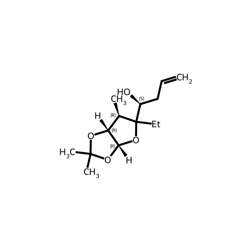 C=CC[C@H](O)C1(CC)O[C@@H]2OC(C)(C)O[C@@H]2[C@H]1C